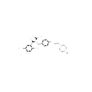 CC(C)c1cc(-c2nnc(S)n2Cc2ccc(OCCN3CCN(C)CC3)cc2)c(O)cc1O